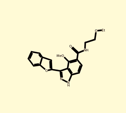 CCOCCNC(=O)c1ccc2[nH]nc(-c3cc4ccccc4o3)c2c1OC